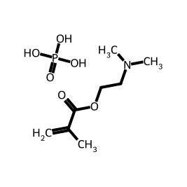 C=C(C)C(=O)OCCN(C)C.O=P(O)(O)O